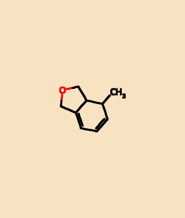 CC1C=CC=C2COCC21